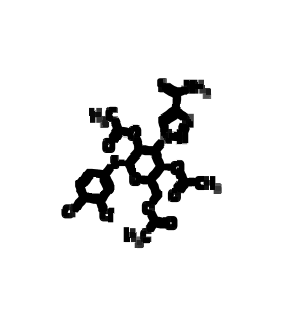 CC(=O)OCC1O[C@H](Sc2ccc(Cl)c(Cl)c2)C(OC(C)=O)C(n2cc(C(N)=S)nn2)[C@H]1OC(C)=O